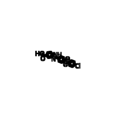 O=C(O)c1ccc2[nH]c(-c3ccc(S(=O)(=O)c4ccc(Cl)cc4)cc3)nc2c1